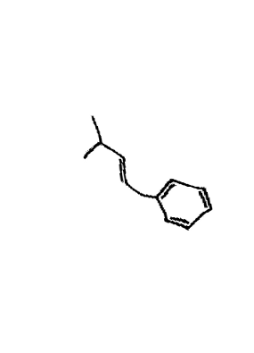 C[C](C)/C=C/c1ccccc1